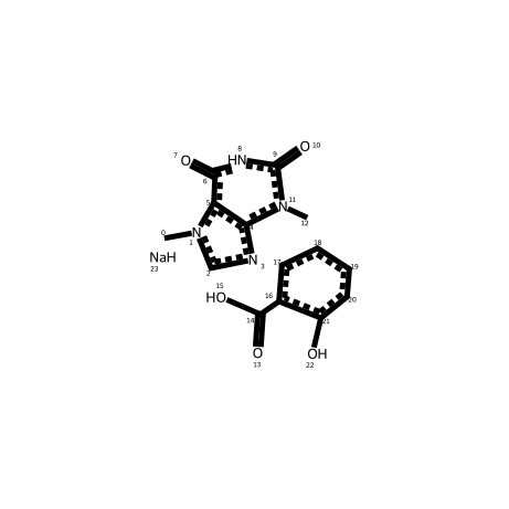 Cn1cnc2c1c(=O)[nH]c(=O)n2C.O=C(O)c1ccccc1O.[NaH]